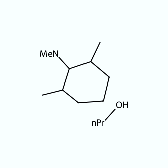 CCCO.CNC1C(C)CCCC1C